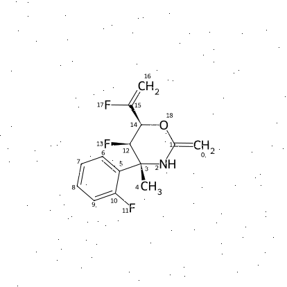 C=C1N[C@](C)(c2ccccc2F)[C@@H](F)[C@@H](C(=C)F)O1